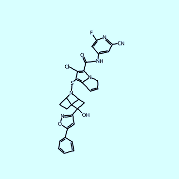 N#Cc1cc(NC(=O)c2c(Cl)c(SN3C4CCC45C3CC5(O)c3cc(-c4ccccc4)on3)c3n2CC=C3)cc(F)n1